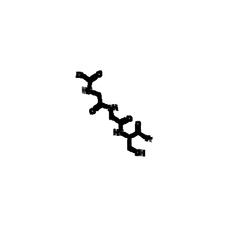 CCC(=O)NCC(=O)NCC(=O)NC(CO)C(=O)C(C)C